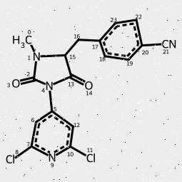 CN1C(=O)N(c2cc(Cl)nc(Cl)c2)C(=O)C1Cc1ccc(C#N)cc1